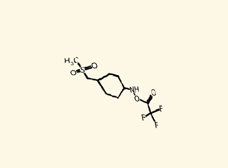 CS(=O)(=O)CC1CCC(NOC(=O)C(F)(F)F)CC1